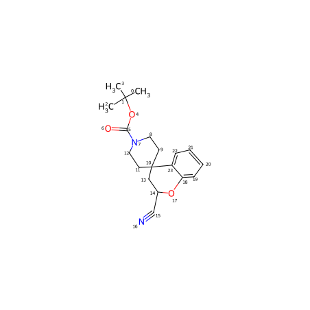 CC(C)(C)OC(=O)N1CCC2(CC1)CC(C#N)Oc1ccccc12